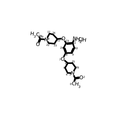 CC(=O)N1CCC(Oc2ccc(N)c(OC3CCN(C(C)=O)CC3)c2)CC1.Cl